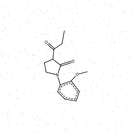 CCC(=O)C1CCN(c2ccccc2OC)C1=O